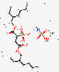 CCCCC(CC)COC(=O)CC(C(=O)OCC(CC)CCCC)S(=O)(=O)[O-].NS(=O)(=O)O.[Na+]